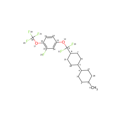 CC1CCC(C2CCC(C(F)(F)Oc3ccc(OC(F)(F)F)c(F)c3)CC2)CC1